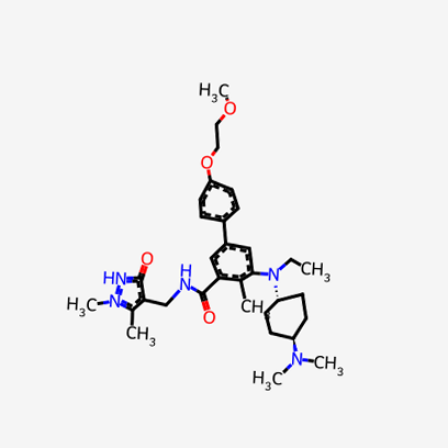 CCN(c1cc(-c2ccc(OCCOC)cc2)cc(C(=O)NCc2c(C)n(C)[nH]c2=O)c1C)[C@H]1CC[C@H](N(C)C)CC1